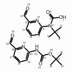 CC(C)(C)N(C(=O)O)c1cccc(C=O)n1.CC(C)(C)OC(=O)Nc1cccc(C=O)n1